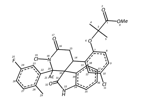 COC(=O)C(C)(C)Oc1ccc(Cl)cc1C1CC(=O)N(Cl)C(C(C)=O)(c2cc(F)ccc2C)C12C(=O)Nc1ccccc12